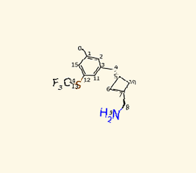 Cc1cc(C[C@H]2C[C@H](CN)C2)cc(SC(F)(F)F)c1